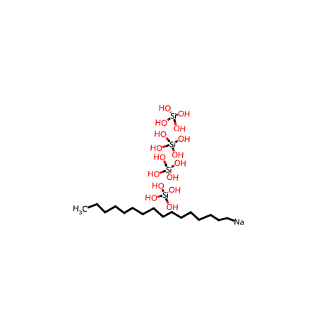 CCCCCCCCCCCCCCC[CH2][Na].O[Si](O)(O)O.O[Si](O)(O)O.O[Si](O)(O)O.O[Si](O)(O)O